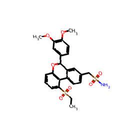 CCS(=O)(=O)c1cccc2c1-c1ccc(CS(N)(=O)=O)cc1C(c1ccc(OC)c(OC)c1)O2